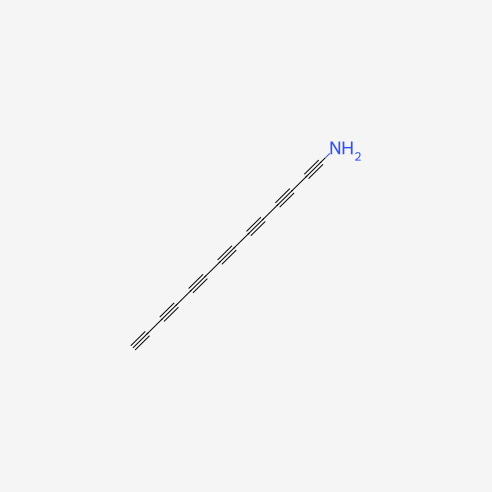 C#CC#CC#CC#CC#CC#CC#CN